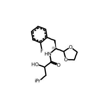 CC(C)CC(O)C(=O)N[C@@H](Cc1ccccc1F)C1OCCO1